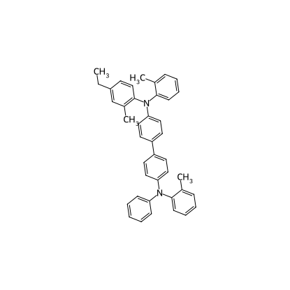 CCc1ccc(N(c2ccc(-c3ccc(N(c4ccccc4)c4ccccc4C)cc3)cc2)c2ccccc2C)c(C)c1